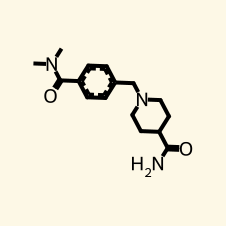 CN(C)C(=O)c1ccc(CN2CCC(C(N)=O)CC2)cc1